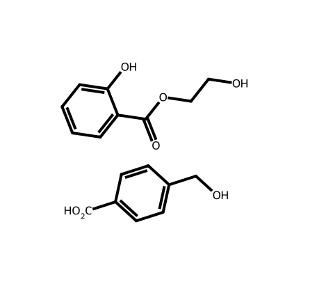 O=C(O)c1ccc(CO)cc1.O=C(OCCO)c1ccccc1O